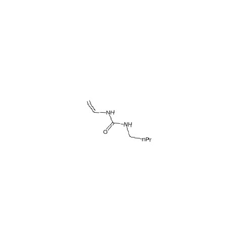 C=CNC(=O)NCCCC